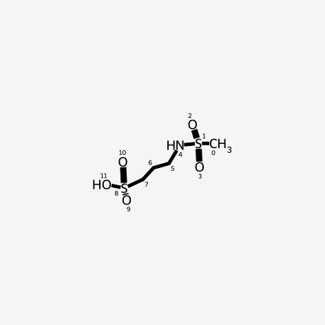 CS(=O)(=O)NCCCS(=O)(=O)O